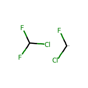 FC(F)Cl.F[CH]Cl